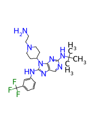 CC(C)(C)Nc1ncc2nc(Nc3cccc(C(F)(F)F)c3)n(C3CCN(CCN)CC3)c2n1